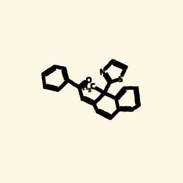 CC1(c2nccs2)C(=CC(=O)c2ccccc2)C=Cc2ccccc21